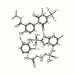 CC(C)OC(=O)c1cc(-n2c(=O)cc(C(F)(F)F)n(C)c2=O)ccc1Cl.Cc1ccn2nc(S(=O)(=O)Nc3c(F)cccc3F)nc2n1.O=C(O)CNCP(=O)(O)O